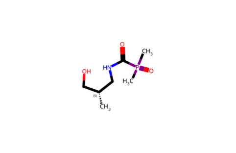 C[C@H](CO)CNC(=O)P(C)(C)=O